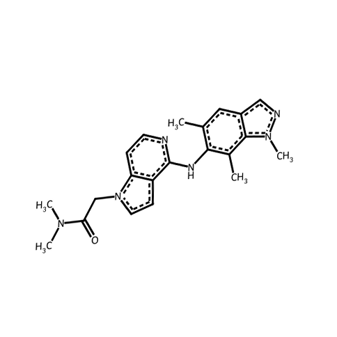 Cc1cc2cnn(C)c2c(C)c1Nc1nccc2c1ccn2CC(=O)N(C)C